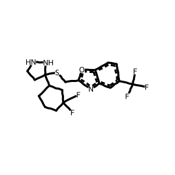 FC1(F)CCCC(C2(SCc3nc4cc(C(F)(F)F)ccc4o3)CCNN2)C1